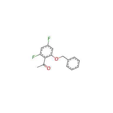 CC(=O)c1c(F)cc(F)cc1OCc1ccccc1